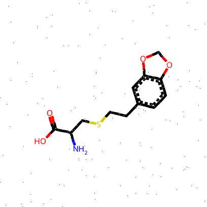 NC(CSCCc1ccc2c(c1)OCO2)C(=O)O